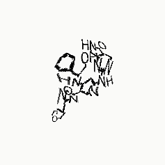 O=C1NCc2nc(Nc3cc(N[C@H](CO)c4ccccc4)c(-c4nc(N5CCOCC5)no4)cn3)ncc21